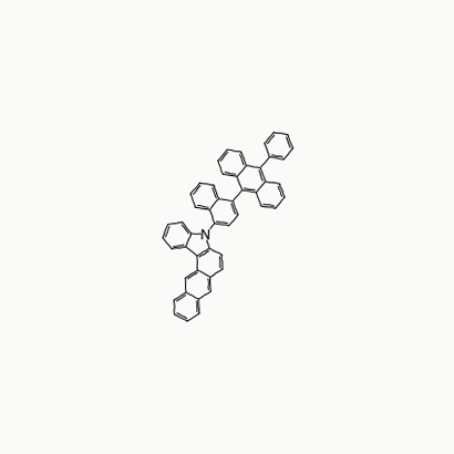 c1ccc(-c2c3ccccc3c(-c3ccc(-n4c5ccccc5c5c6cc7ccccc7cc6ccc54)c4ccccc34)c3ccccc23)cc1